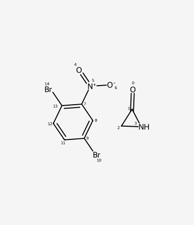 O=C1CN1.O=[N+]([O-])c1cc(Br)ccc1Br